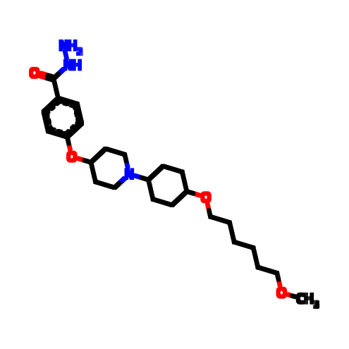 COCCCCCCOC1CCC(N2CCC(Oc3ccc(C(=O)NN)cc3)CC2)CC1